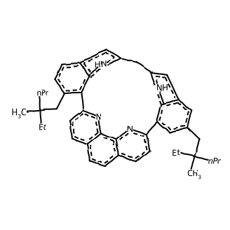 CCCC(C)(CC)Cc1cc2c3[nH]c(cc3c1)Cc1cc3ccc(CC(C)(CC)CCC)c(c3[nH]1)-c1ccc3ccc4ccc-2nc4c3n1